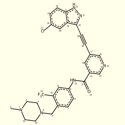 CN1CCN(Cc2ccc(NC(=O)c3cncc(C#Cc4n[nH]c5ccc(Cl)cc45)c3)cc2C(F)(F)F)CC1